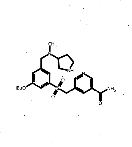 CC(C)COc1cc(CN(C)C2CCNC2)cc(S(=O)(=O)Cc2cncc(C(N)=O)c2)c1